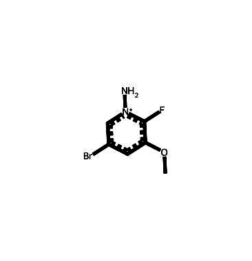 COc1cc(Br)c[n+](N)c1F